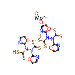 S=C([S-])N(c1ncco1)N(C(=S)S)c1ncco1.S=C([S-])N(c1ncco1)N(C(=S)S)c1ncco1.[O]=[Mo+2]=[O]